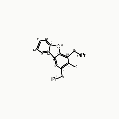 Cc1c(CC(C)C)cc2c(oc3ccccc32)c1CC(C)C